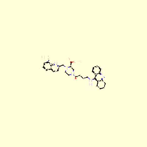 Nc1cc(F)cc2ccc(CN3CCN(C(=O)CCCNc4c5c(nc6ccccc46)CCCC5)CC3C(=O)O)nc12